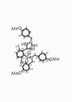 COc1ccc(CN2NNC(c3c(I)ccc(Br)c3S(=O)(=O)N(Cc3ccc(OC)cc3)Cc3ccc(OC)cc3)N2)cc1